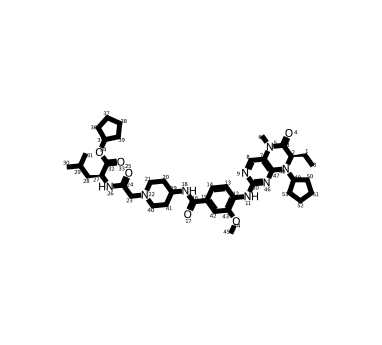 CC[C@@H]1C(=O)N(C)c2cnc(Nc3ccc(C(=O)NC4CCN(CC(=O)N[C@@H](CC(C)C)C(=O)OC5CCCC5)CC4)cc3OC)nc2N1C1CCCC1